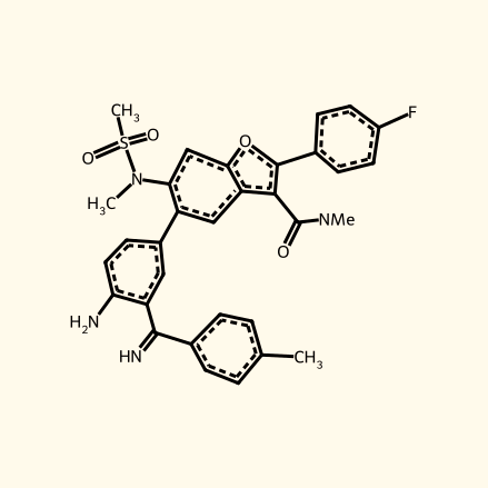 CNC(=O)c1c(-c2ccc(F)cc2)oc2cc(N(C)S(C)(=O)=O)c(-c3ccc(N)c(C(=N)c4ccc(C)cc4)c3)cc12